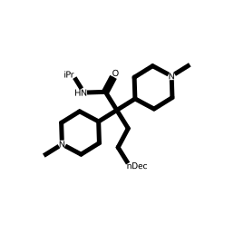 CCCCCCCCCCCCC(C(=O)NC(C)C)(C1CCN(C)CC1)C1CCN(C)CC1